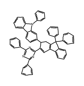 C1=C(c2nc(-c3ccccc3)nc(-c3ccccc3)n2)C(c2ccc3c4ccccc4n(-c4ccccc4)c3c2)CC2=C1c1ccccc1C2(c1ccccc1)c1ccccc1